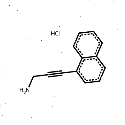 Cl.NCC#Cc1cccc2ccccc12